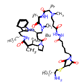 CC[C@H](C)[C@@H]([C@@H](CC(=O)N1CCC[C@H]1[C@H](OC)[C@@H](C)C(=O)N[C@@H](Cc1c[nH]c2ccccc12)C(=O)O)OC)N(C)C(=O)[C@@H](NC(=O)[C@H](C(C)C)N(C)CCCC(=O)NNC(=O)CCCCCN1C(=O)CC(SC[C@H](N)C(=O)O)C1=O)C(C)C